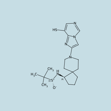 CC(C)(C)[S@@+]([O-])N[C@@H]1CCCC12CCN(c1cn3cncc(S)c3n1)CC2